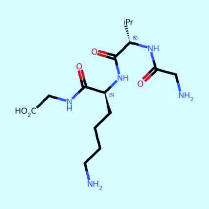 CC(C)[C@H](NC(=O)CN)C(=O)N[C@@H](CCCCN)C(=O)NCC(=O)O